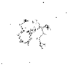 BrCc1ccccc1.C[N+](C)(C)CCO